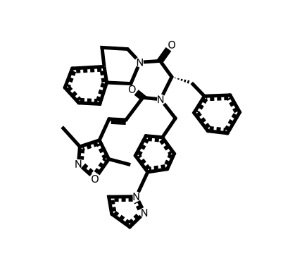 Cc1noc(C)c1C=CC(=O)N(Cc1ccc(-n2cccn2)cc1)[C@@H](Cc1ccccc1)C(=O)N1CCc2ccccc2C1